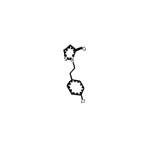 O=c1ccsn1CCc1ccc(Cl)cc1